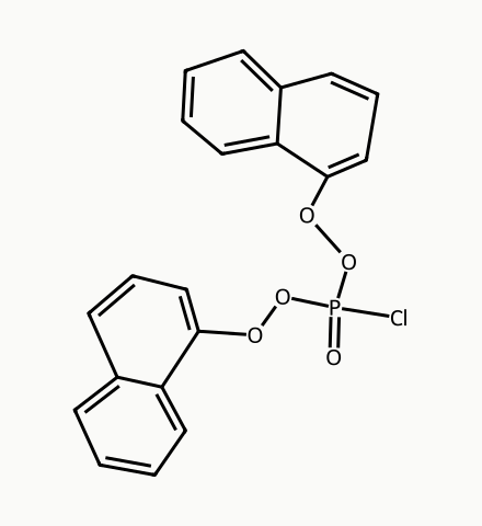 O=P(Cl)(OOc1cccc2ccccc12)OOc1cccc2ccccc12